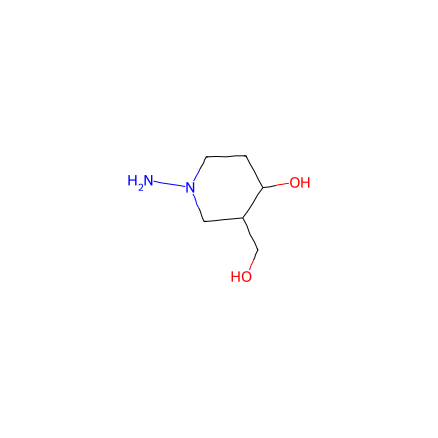 NN1CCC(O)C(CO)C1